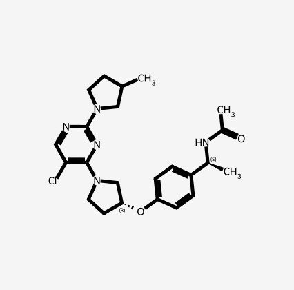 CC(=O)N[C@@H](C)c1ccc(O[C@@H]2CCN(c3nc(N4CCC(C)C4)ncc3Cl)C2)cc1